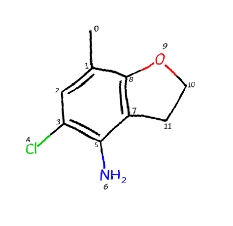 Cc1cc(Cl)c(N)c2c1OCC2